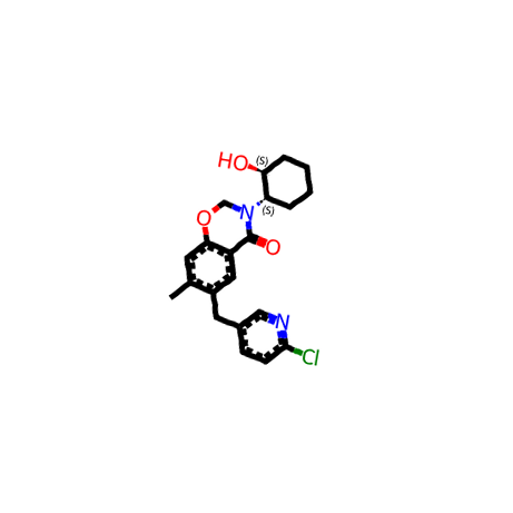 Cc1cc2c(cc1Cc1ccc(Cl)nc1)C(=O)N([C@H]1CCCC[C@@H]1O)CO2